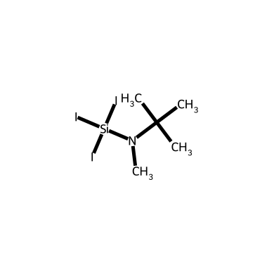 CN(C(C)(C)C)[Si](I)(I)I